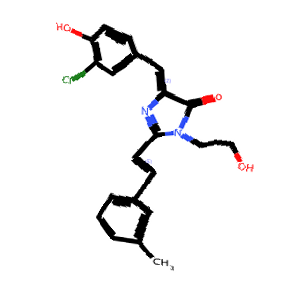 Cc1cccc(/C=C/C2=NC(=C\c3ccc(O)c(Cl)c3)/C(=O)N2CCO)c1